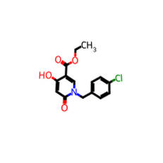 CCOC(=O)c1cn(Cc2ccc(Cl)cc2)c(=O)cc1O